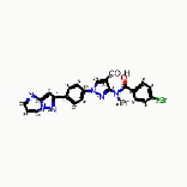 CC(C)N(C(=O)c1ccc(Br)cc1)c1nn(-c2ccc(-c3cc4ncccn4n3)cc2)cc1C(=O)O